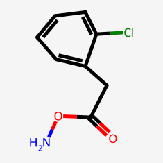 NOC(=O)Cc1ccccc1Cl